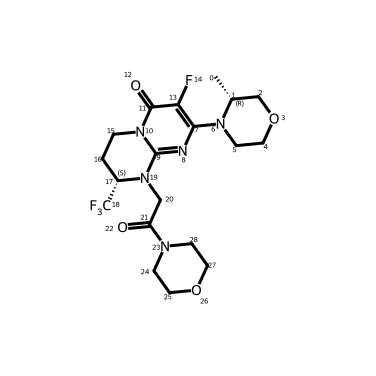 C[C@@H]1COCCN1c1nc2n(c(=O)c1F)CC[C@@H](C(F)(F)F)N2CC(=O)N1CCOCC1